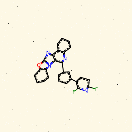 Fc1ccc(-c2cccc(-c3nc4ccccc4c4nc5oc6ccccc6n5c34)c2)c(F)n1